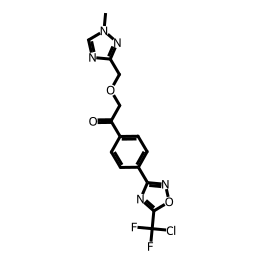 Cn1cnc(COCC(=O)c2ccc(-c3noc(C(F)(F)Cl)n3)cc2)n1